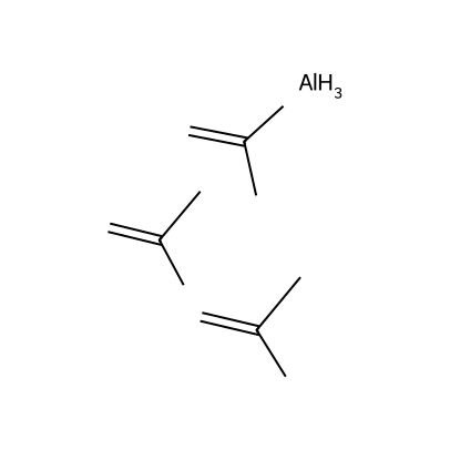 C=C(C)C.C=C(C)C.C=C(C)C.[AlH3]